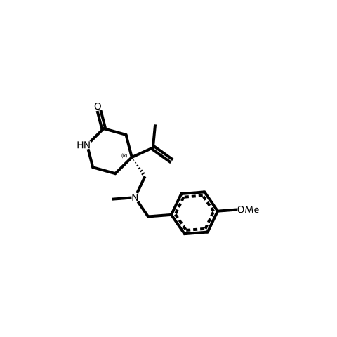 C=C(C)[C@@]1(CN(C)Cc2ccc(OC)cc2)CCNC(=O)C1